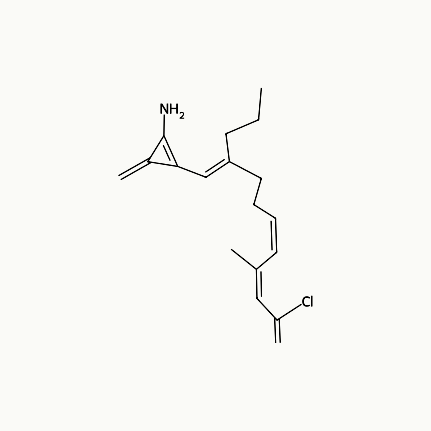 C=C(Cl)/C=C(C)\C=C/CC/C(=C/C1=C(N)C1=C)CCC